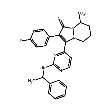 CC(Nc1nccc(-c2c(-c3ccc(F)cc3)c(=O)n3n2CCCC3C(=O)O)n1)c1ccccc1